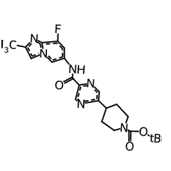 Cc1cn2cc(NC(=O)c3cnc(C4CCN(C(=O)OC(C)(C)C)CC4)cn3)cc(F)c2n1